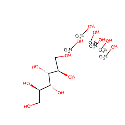 O=[N+]([O-])O.O=[N+]([O-])O.O=[N+]([O-])O.O=[N+]([O-])O.O=[N+]([O-])O.O=[N+]([O-])O.OC[C@@H](O)[C@@H](O)[C@H](O)[C@H](O)CO